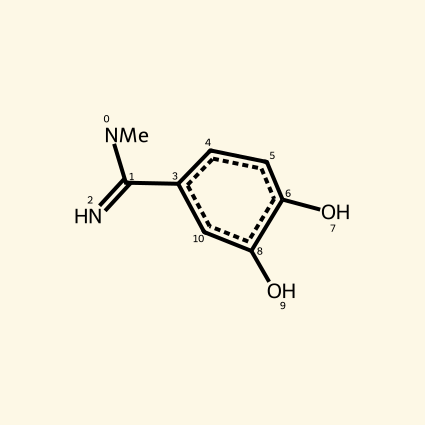 CNC(=N)c1ccc(O)c(O)c1